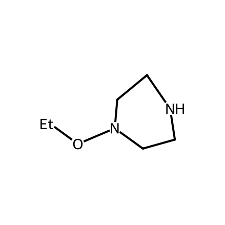 CCON1CCNCC1